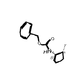 [CH2][C@@H]1CC[C@@H]1NC(=O)OCc1ccccc1